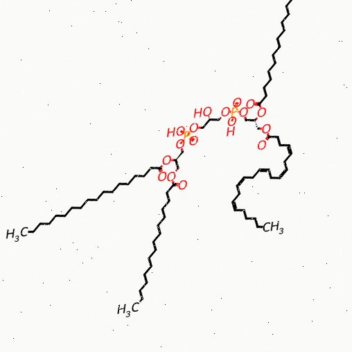 CCCCC/C=C\C/C=C\C/C=C\C/C=C\C/C=C\CCC(=O)OC[C@H](COP(=O)(O)OC[C@@H](O)COP(=O)(O)OC[C@@H](COC(=O)CCCCCCCCCCCCCCC)OC(=O)CCCCCCCCCCCCCCCCC)OC(=O)CCCCCCCCCCCCCCC